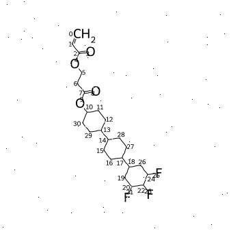 C=CC(=O)OCCC(=O)OC1CCC(C2CCC(C3CC(F)C(F)C(F)C3)CC2)CC1